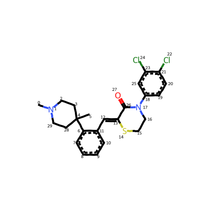 CN1CCC(C)(c2ccccc2C=C2SCCN(c3ccc(Cl)c(Cl)c3)C2=O)CC1